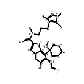 CNC1(c2c(NC=O)c(Cl)cc3cc(C(=O)N(C)CCCc4c(C)nn(C)c4C)oc23)CCCCC1